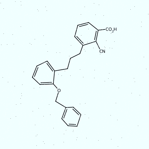 N#Cc1c(CCCc2ccccc2OCc2ccccc2)cccc1C(=O)O